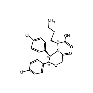 CCCC[C@@H](C(=O)O)N1C(=O)CO[C@@H](c2ccc(Cl)cc2)[C@H]1c1ccc(Cl)cc1